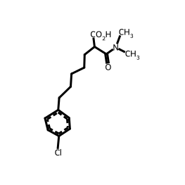 CN(C)C(=O)C(CCCCCc1ccc(Cl)cc1)C(=O)O